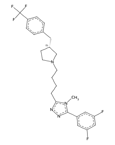 Cn1c(CCCCN2CC[C@H](Cc3ccc(C(F)(F)F)cc3)C2)nnc1-c1cc(F)cc(F)c1